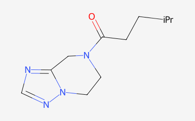 CC(C)CCC(=O)N1CCn2ncnc2C1